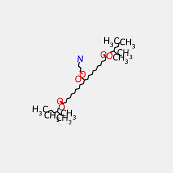 CC(C)CCC(COC(=O)CCCCCCCCCC(CCCCCCCCCC(=O)OCC(CCC(C)C)C(C)C)C(=O)OCCCC#N)C(C)C